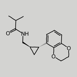 CC(C)C(=O)NC[C@@H]1C[C@H]1c1cccc2c1OCCO2